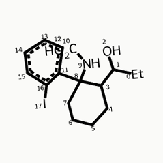 CCC(O)C1CCCCC1(NC(=O)O)c1ccccc1I